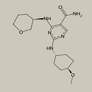 CO[C@H]1CC[C@H](Nc2ncc(C(N)=O)c(N[C@@H]3CCCOC3)n2)CC1